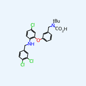 CC(C)(C)N(Cc1cccc(Oc2cc(Cl)ccc2NCc2ccc(Cl)c(Cl)c2)c1)C(=O)O